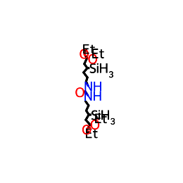 CCOC(CC([SiH3])CCCNC(=O)NCCCC([SiH3])CC(OCC)OCC)OCC